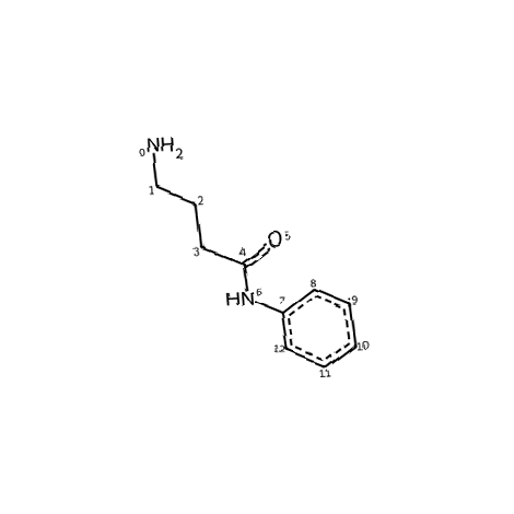 NCCCC(=O)Nc1c[c]ccc1